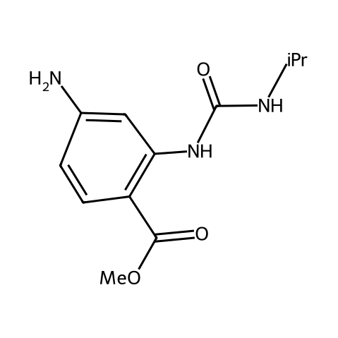 COC(=O)c1ccc(N)cc1NC(=O)NC(C)C